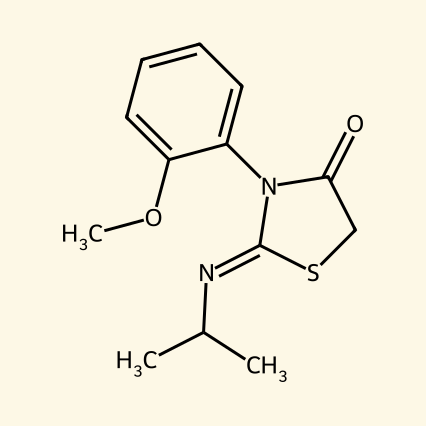 COc1ccccc1N1C(=O)CSC1=NC(C)C